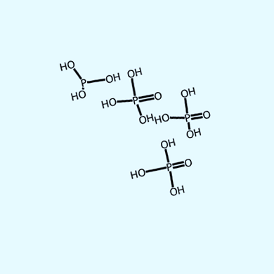 O=P(O)(O)O.O=P(O)(O)O.O=P(O)(O)O.OP(O)O